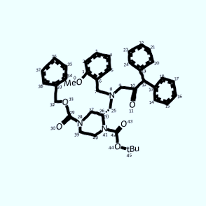 COc1ccccc1CN(CC(=O)C(c1ccccc1)c1ccccc1)C[C@H]1CN(C(=O)OCc2ccccc2)CCN1C(=O)OC(C)(C)C